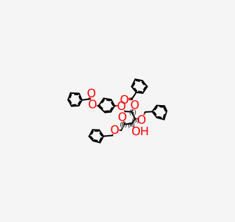 O=C(Oc1ccc(OC2O[C@H](COCc3ccccc3)[C@@H](O)[C@H](OCc3ccccc3)[C@@H]2OC(=O)c2ccccc2)cc1)c1ccccc1